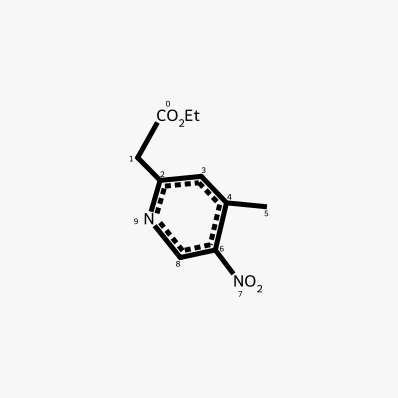 CCOC(=O)Cc1cc(C)c([N+](=O)[O-])cn1